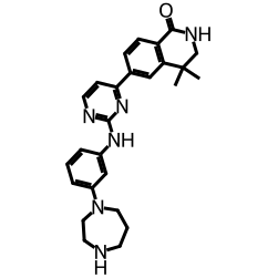 CC1(C)CNC(=O)c2ccc(-c3ccnc(Nc4cccc(N5CCCNCC5)c4)n3)cc21